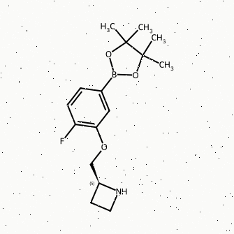 CC1(C)OB(c2ccc(F)c(OC[C@@H]3CCN3)c2)OC1(C)C